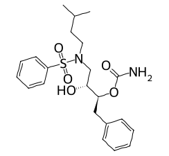 CC(C)CCN(C[C@@H](O)[C@H](Cc1ccccc1)OC(N)=O)S(=O)(=O)c1ccccc1